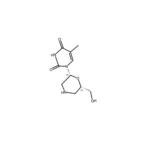 Cc1cn([C@H]2CNC[C@@H](CO)O2)c(=O)[nH]c1=O